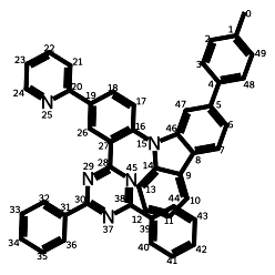 Cc1ccc(-c2ccc3c4ccccc4n(-c4ccc(-c5ccccn5)cc4-c4nc(-c5ccccc5)nc(-c5ccccc5)n4)c3c2)cc1